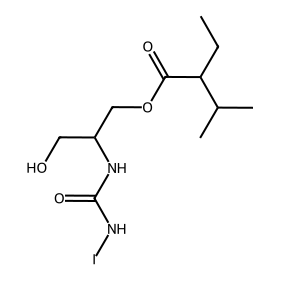 CCC(C(=O)OCC(CO)NC(=O)NI)C(C)C